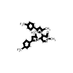 Cc1cc(-c2ccc(C(F)(F)F)cc2)nn1-c1cnn(C)c(=O)c1-n1nc(-c2ccc(C(F)(F)F)cc2)cc1C